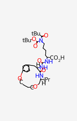 CC(C)[C@H]1COCCCCOc2ccc(cc2)C[C@@H](NC(=O)NC(CCCCN(C(=O)OC(C)(C)C)C(=O)C(C)(C)C)C(=O)O)C(=O)N1